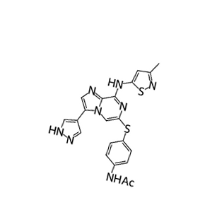 CC(=O)Nc1ccc(Sc2cn3c(-c4cn[nH]c4)cnc3c(Nc3cc(C)ns3)n2)cc1